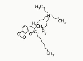 CCCCCCCC[S+]([O-])C(C)Cc1ccc2c(c1)OCO2.CCCC[N+](CCCC)(CCCC)CCCC